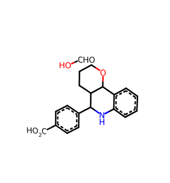 O=C(O)c1ccc(C2Nc3ccccc3C3OCCCC23)cc1.O=CO